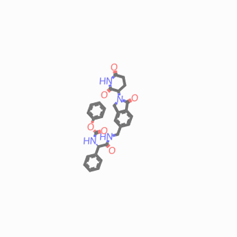 O=C1CCC(N2Cc3cc(CNC(=O)[C@@H](NC(=O)Oc4ccccc4)c4ccccc4)ccc3C2=O)C(=O)N1